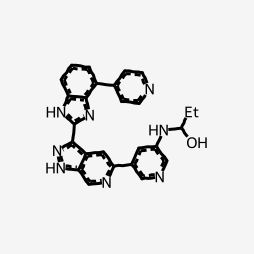 CCC(O)Nc1cncc(-c2cc3c(-c4nc5c(-c6ccncc6)cccc5[nH]4)n[nH]c3cn2)c1